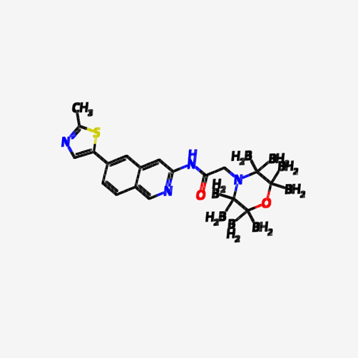 BC1(B)OC(B)(B)C(B)(B)N(CC(=O)Nc2cc3cc(-c4cnc(C)s4)ccc3cn2)C1(B)B